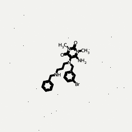 Cn1c(N)c(N(CCCNCc2ccccc2)Cc2cccc(Br)c2)c(=O)n(C)c1=O